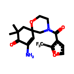 CC1(C)CC2(C=C(N)C1=O)CN(C(=O)c1ccoc1C(F)(F)F)CCO2